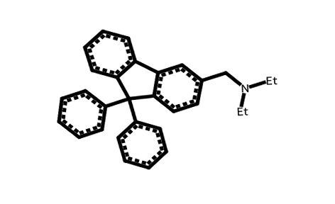 CCN(CC)Cc1ccc2c(c1)-c1ccccc1C2(c1ccccc1)c1ccccc1